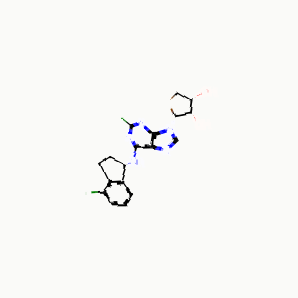 O[C@@H]1[C@H](O)CS[C@H]1n1cnc2c(N[C@@H]3CCc4c(Br)cccc43)nc(Cl)nc21